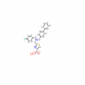 O=C(O)c1csc(CN(Cc2ccc(F)cc2)Cc2ccc(-c3ccccc3)cc2)n1